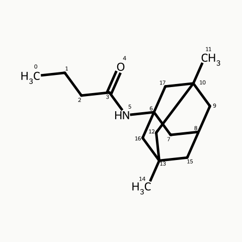 CCCC(=O)NC12CC3CC(C)(CC(C)(C3)C1)C2